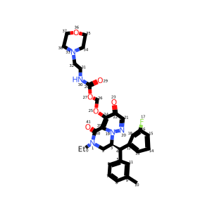 CCN1C[C@H](C(c2cccc(C)c2)c2cccc(F)c2)n2ncc(=O)c(OCOC(=O)NCCN3CCOCC3)c2C1=O